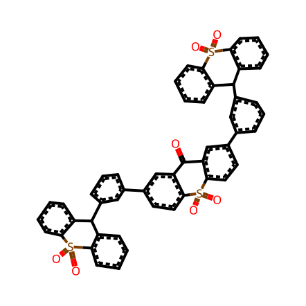 O=C1c2cc(-c3cccc(C4c5ccccc5S(=O)(=O)c5ccccc54)c3)ccc2S(=O)(=O)c2ccc(-c3cccc(C4c5ccccc5S(=O)(=O)c5ccccc54)c3)cc21